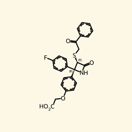 O=C(O)COc1ccc([C@]2(c3ccc(F)cc3)NC(=O)[C@@H]2SCC(=O)c2ccccc2)cc1